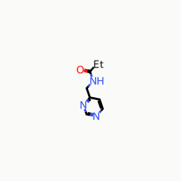 CCC(=O)NCc1ccncn1